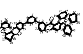 O=c1c2cc(-c3cccc(-c4ccc5c(c4)Oc4cccc6c4N5c4ccccc4O6)c3)ccc2oc2ccc([Si](c3ccccc3)(c3ccccc3)c3ccccc3)cc12